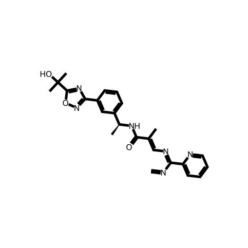 C=N/C(=N\C=C(/C)C(=O)N[C@@H](C)c1cccc(-c2noc(C(C)(C)O)n2)c1)c1ccccn1